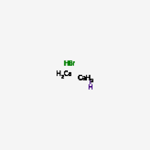 Br.I.[CaH2].[CaH2]